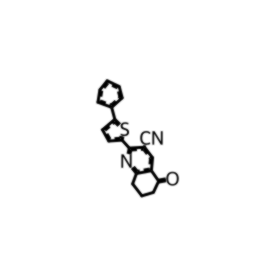 N#Cc1cc2c(nc1-c1ccc(-c3ccccc3)s1)CCCC2=O